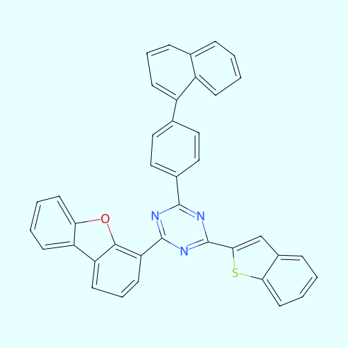 c1ccc2sc(-c3nc(-c4ccc(-c5cccc6ccccc56)cc4)nc(-c4cccc5c4oc4ccccc45)n3)cc2c1